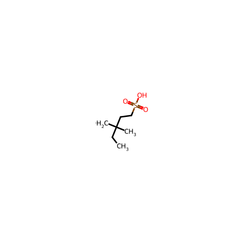 [CH2]C(C)(CC)CCS(=O)(=O)O